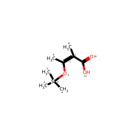 C/C(O[Si](C)(C)C)=C(\C)C(=O)O